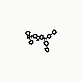 CC1(C)c2cc(N(c3ccc(-c4ccccc4)cc3)c3ccc(-c4ccccc4)cc3)ccc2-c2ccc(-n3c(-c4ccccc4)cc4ccccc43)cc21